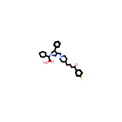 O=C(CCCC1CCN(CC2CN(C(C(=O)O)C3CCCCC3)CC2c2ccccc2)CC1)c1ccc(F)cc1